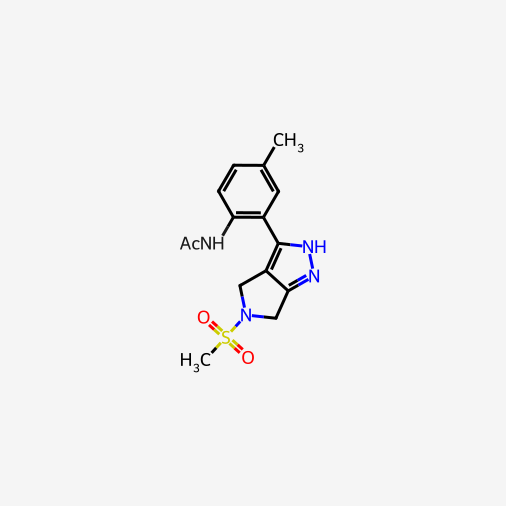 CC(=O)Nc1ccc(C)cc1-c1[nH]nc2c1CN(S(C)(=O)=O)C2